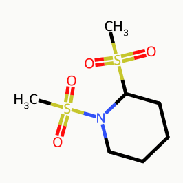 CS(=O)(=O)C1CCCCN1S(C)(=O)=O